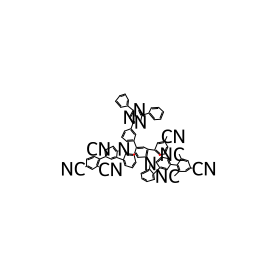 N#Cc1cccc(-c2cc(-c3cc(-c4nc(-c5ccccc5)nc(-c5ccccc5)n4)ccc3-n3c4ccccc4c4cc(-c5c(C#N)cc(C#N)cc5C#N)ccc43)ccc2-n2c3ccccc3c3cc(-c4c(C#N)cc(C#N)cc4C#N)ccc32)c1